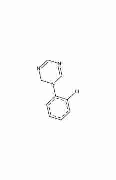 Clc1ccccc1N1C=NC=NC1